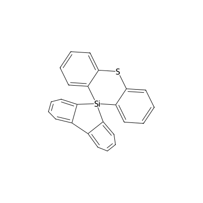 c1ccc2c(c1)Sc1ccccc1[Si]21c2ccccc2-c2ccccc21